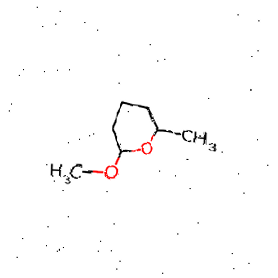 COC1CCCC(C)O1